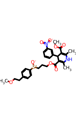 COCCc1ccc([S+]([O-])CCCOC(=O)C2=C(C)NC(C)=C(C(=O)OC)C2c2cccc([N+](=O)[O-])c2)cc1